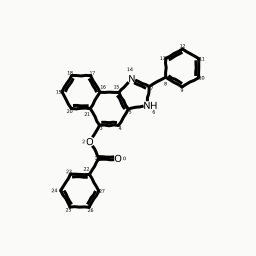 O=C(Oc1cc2[nH]c(-c3ccccc3)nc2c2ccccc12)c1ccccc1